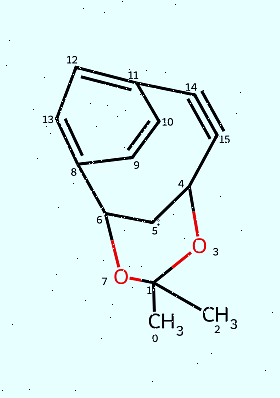 CC1(C)OC2[C]C(O1)c1ccc(cc1)C#C2